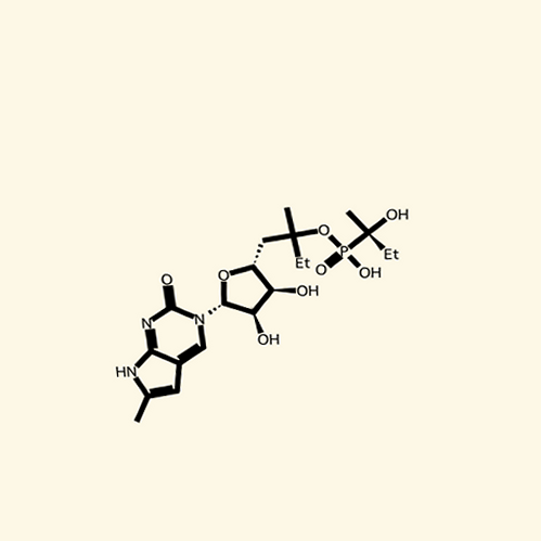 CCC(C)(C[C@H]1O[C@@H](n2cc3cc(C)[nH]c3nc2=O)[C@H](O)[C@@H]1O)OP(=O)(O)[C@](C)(O)CC